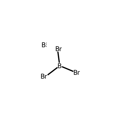 BrB(Br)Br.[B]